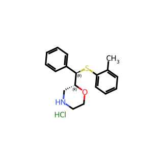 Cc1ccccc1S[C@H](c1ccccc1)[C@H]1CNCCO1.Cl